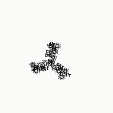 CCC1(CC)c2cc(-c3nc(-c4ccc5c(c4)C(CC)(CC)c4cc(N(c6ccccc6C(C)C)c6ccccc6C(C)C)ccc4-5)nc(-c4ccc5c(c4)C(CC)(CC)c4cc(N(c6ccccc6C(C)C)c6ccccc6C(C)C)ccc4-5)n3)ccc2-c2ccc(N(c3ccccc3C(C)C)c3ccccc3C(C)C)cc21